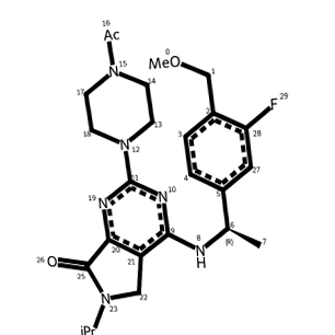 COCc1ccc([C@@H](C)Nc2nc(N3CCN(C(C)=O)CC3)nc3c2CN(C(C)C)C3=O)cc1F